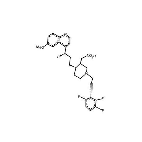 COc1ccc2nccc([C@H](F)CC[C@@H]3CCN(CC#Cc4c(F)ccc(F)c4F)C[C@@H]3CC(=O)O)c2c1